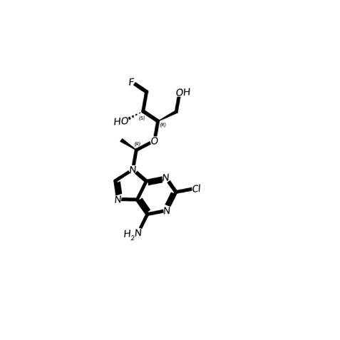 C[C@@H](O[C@H](CO)[C@H](O)CF)n1cnc2c(N)nc(Cl)nc21